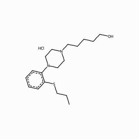 CCCSc1ccccc1N1CCN(CCCCCO)CC1.Cl